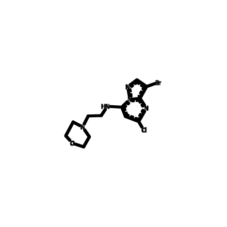 Clc1cc(NCCN2CCOCC2)n2ncc(Br)c2n1